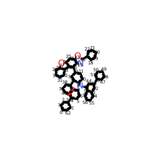 c1ccc(-c2ccc(N(c3ccc(-c4c5nc(-c6ccccc6)oc5cc5oc6ccccc6c45)cc3-c3ccccc3)c3cc(-c4ccccc4)cc4ccccc34)cc2)cc1